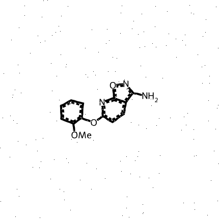 COc1ccccc1Oc1ccc2c(N)noc2n1